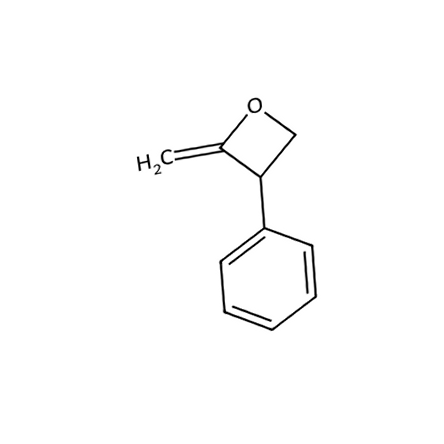 C=C1OCC1c1ccccc1